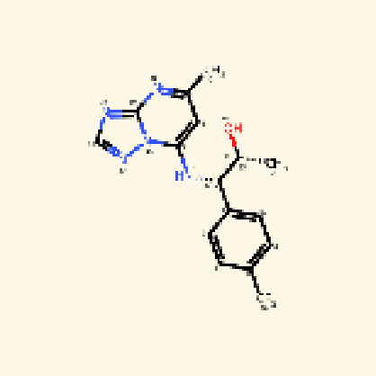 Cc1cc(N[C@@H](c2ccc(C(F)(F)F)cc2)[C@@H](C)O)n2ncnc2n1